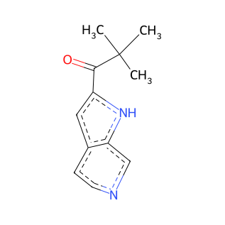 CC(C)(C)C(=O)c1cc2ccncc2[nH]1